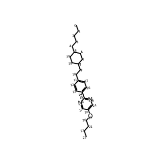 CCCCCC1CCC(CCc2ccc(-c3ncc(OCCCC)cn3)cc2)CC1